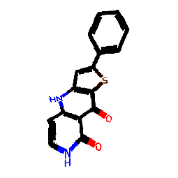 O=c1[nH]ccc2[nH]c3cc(-c4ccccc4)sc3c(=O)c12